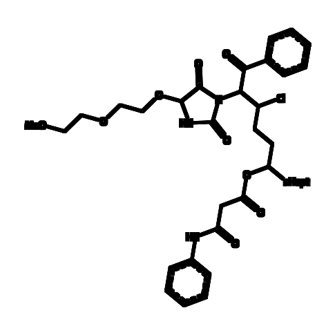 CCCCCCCC(CCC(Cl)C(C(=O)c1ccccc1)N1C(=O)NC(OCCOCCOC)C1=O)OC(=O)CC(=O)Nc1ccccc1